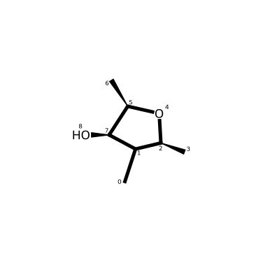 CC1[C@H](C)O[C@H](C)[C@@H]1O